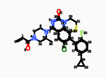 C=CC(=O)N1CCN(c2nc(=O)n3c4c(c(-c5cc(C6CC6)ccc5F)c(Cl)cc24)SCC3)[C@@H](C)C1